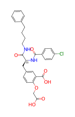 O=C(O)COc1ccc(C[C@H](NC(=O)c2ccc(Cl)cc2)C(=O)NCCCCc2ccccc2)cc1C(=O)O